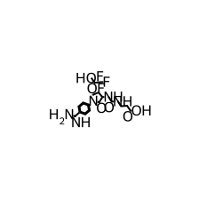 N=C(N)c1ccc(N2CCC(NC(=O)NCCC(=O)O)C2=O)cc1.O=C(O)C(F)(F)F